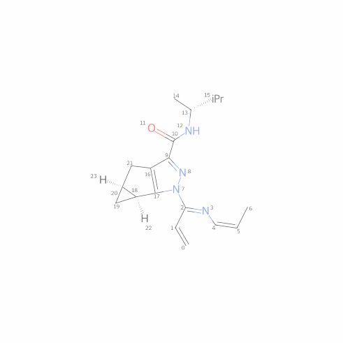 C=C/C(=N\C=C/C)n1nc(C(=O)N[C@H](C)C(C)C)c2c1[C@H]1C[C@H]1C2